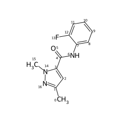 Cc1cc(C(=O)Nc2c[c]ccc2F)n(C)n1